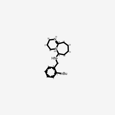 CCCCc1ccccc1CNC1CCCCC2=NCCCN21